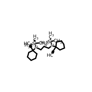 C#CC1(N(CCCN(C2(C#C)CCCCC2)[Si](C)(C)C)[Si](C)(C)C)CCCCC1